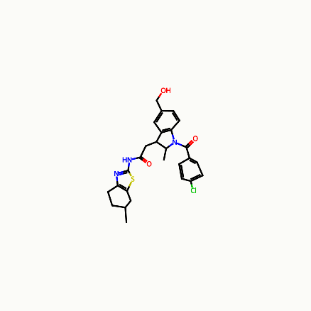 CC1CCc2nc(NC(=O)CC3c4cc(CO)ccc4N(C(=O)c4ccc(Cl)cc4)C3C)sc2C1